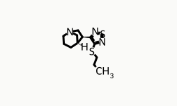 CCCSc1nsnc1[C@@H]1CN2CCC[C@H]1C2